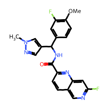 COc1ccc(C(NC(=O)c2ccc3cnc(F)cc3n2)c2cnn(C)c2)cc1F